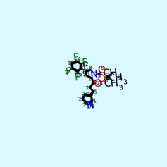 CC(C)(C)OC(=O)N1C[C@@H](c2c(F)c(F)cc(F)c2F)CC1C(=O)CCc1cccnc1